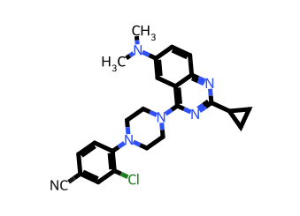 CN(C)c1ccc2nc(C3CC3)nc(N3CCN(c4ccc(C#N)cc4Cl)CC3)c2c1